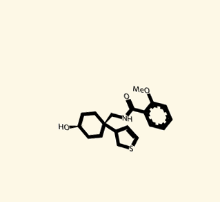 COc1ccccc1C(=O)NC[C@]1(C2C=CSC2)CC[C@H](O)CC1